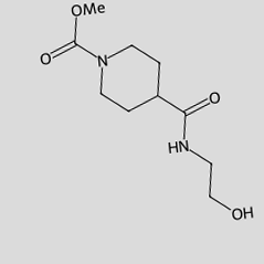 COC(=O)N1CCC(C(=O)NCCO)CC1